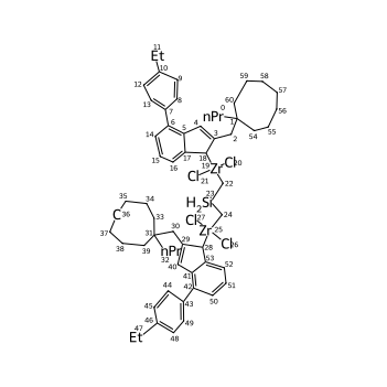 CCCC1(CC2=Cc3c(-c4ccc(CC)cc4)cccc3[CH]2[Zr]([Cl])([Cl])[CH2][SiH2][CH2][Zr]([Cl])([Cl])[CH]2C(CC3(CCC)CCCCCCC3)=Cc3c(-c4ccc(CC)cc4)cccc32)CCCCCCC1